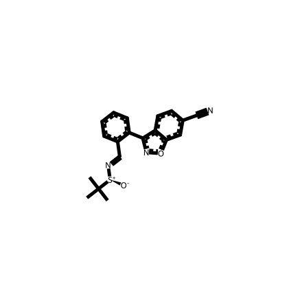 CC(C)(C)[S@+]([O-])N=Cc1ccccc1-c1noc2cc(C#N)ccc12